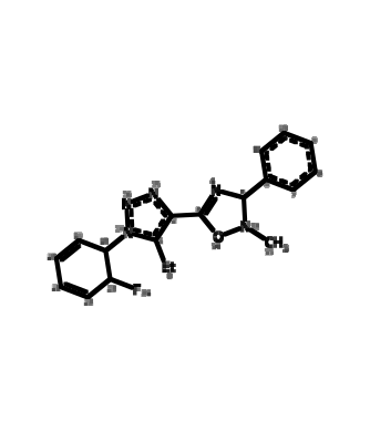 CCc1c(C2=NC(c3ccccc3)N(C)O2)nnn1C1C=CC=CC1F